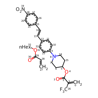 C=C(C(=O)OC1CCN(c2ccc(C=Cc3ccc([N+](=O)[O-])cc3)cc2)CC1)C(F)(F)F.C=CC(=O)OCCCCCC